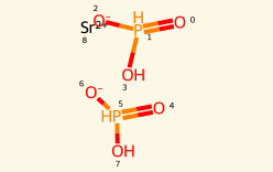 O=[PH]([O-])O.O=[PH]([O-])O.[Sr+2]